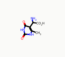 Cc1[nH]c(=O)[nH]c(=O)c1C(N)C(=O)O